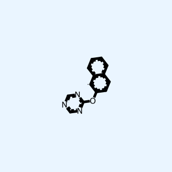 [c]1c(Oc2ncncn2)ccc2ccccc12